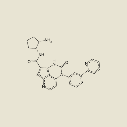 N[C@H]1CCC[C@H]1NC(=O)c1sc2nccc3c2c1NC(=O)N3c1cccc(-c2ccccn2)c1